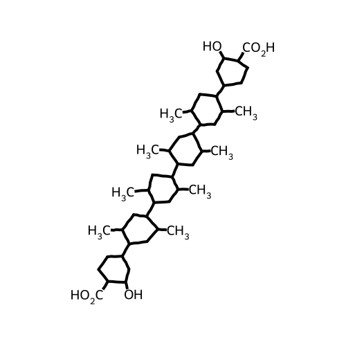 CC1CC(C2CC(C)C(C3CC(C)C(C4CC(C)C(C5CCC(C(=O)O)C(O)C5)CC4C)CC3C)CC2C)C(C)CC1C1CCC(C(=O)O)C(O)C1